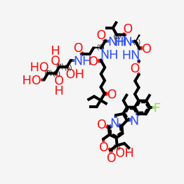 CCc1c2c(nc3cc(F)c(C)c(CCCCOCNC(=O)[C@H](C)NC(=O)[C@@H](NC(=O)[C@H](CCC(=O)NC[C@H](O)[C@@H](O)[C@H](O)[C@H](O)CO)NC(=O)CCCCC(=O)C(C)(CC)CC)C(C)C)c13)-c1cc3c(c(=O)n1C2)COC(=O)[C@]3(O)CC